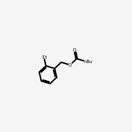 CCC[CH]C(=O)OCc1ccccc1CC